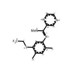 CN/C(=N\c1cc(SCC(F)(F)F)c(C)cc1C)c1cnccn1